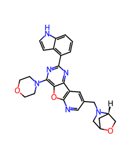 c1cc(-c2nc(N3CCOCC3)c3oc4ncc(CN5CC6C[C@H]5CO6)cc4c3n2)c2cc[nH]c2c1